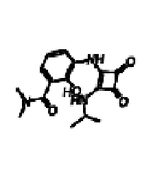 CC(C)Nc1c(Nc2cccc(C(=O)N(C)C)c2O)c(=O)c1=O